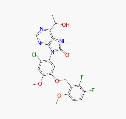 COc1cc(Cl)c(-n2c(=O)[nH]c3c(C(C)O)ncnc32)cc1OCc1c(OC)ccc(F)c1F